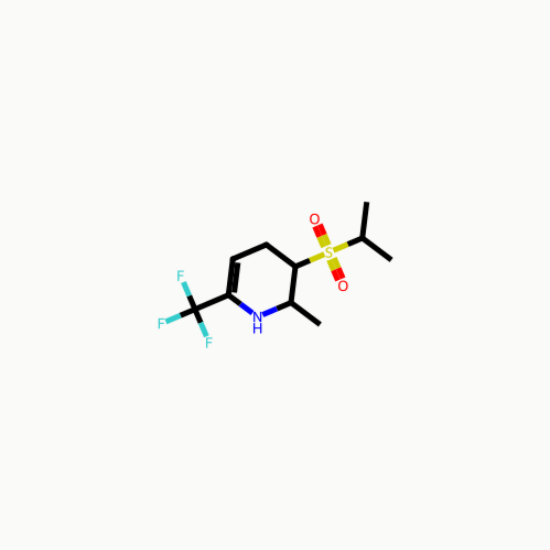 CC1NC(C(F)(F)F)=CCC1S(=O)(=O)C(C)C